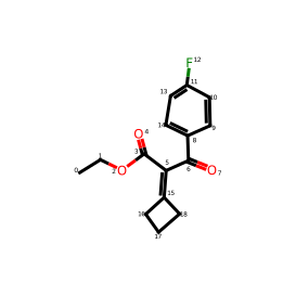 CCOC(=O)C(C(=O)c1ccc(F)cc1)=C1CCC1